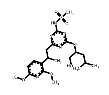 COc1ccc(C(C)Cc2nc(NC(CO)CC(C)C)nc(NS(C)(=O)=O)n2)c(OC)n1